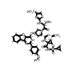 C=C[C@@H]1CC1(NC(=O)[C@@H]1C[C@@H](Oc2nc(-c3ccc(OC(C)C)cc3)nc3c2oc2ccccc23)CN1C(=O)[C@@H](Nc1nc(C(=O)O)cs1)C(C)(C)C)C(=O)NS(=O)(=O)C1CC1